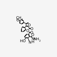 COc1ccc(-c2coc(C(=O)OC(=O)c3ccc(O)c(C#N)c3C(=O)NN)c2-c2ccccc2)cc1